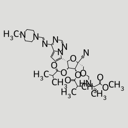 COC(=O)[C@H](C)NCOC[C@@]1(C#N)O[C@@H](c2ccc3c(/N=C/N4CCN(C)CC4)ncnn23)[C@H](OC(=O)C(C)C)[C@@H]1OC(=O)C(C)C